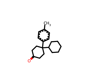 Cc1ccc(C2(C3CCCCC3)CCC(=O)CC2)cc1